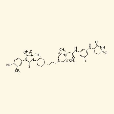 C[C@@H]1CN(CCC[C@H]2CC[C@H](N3C(=S)N(c4ccc(C#N)c(C(F)(F)F)c4)C(=O)C3(C)C)CC2)C[C@H](C)N1CC(=O)Nc1cc(F)cc(NC2CCC(=O)NC2=O)c1